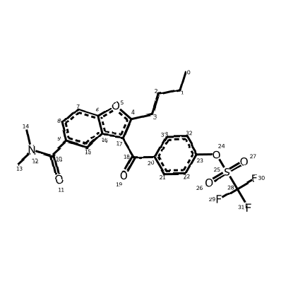 CCCCc1oc2ccc(C(=O)N(C)C)cc2c1C(=O)c1ccc(OS(=O)(=O)C(F)(F)F)cc1